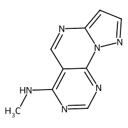 CNc1ncnc2c1cnc1ccnn12